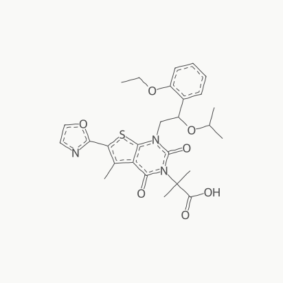 CCOc1ccccc1C(Cn1c(=O)n(C(C)(C)C(=O)O)c(=O)c2c(C)c(-c3ncco3)sc21)OC(C)C